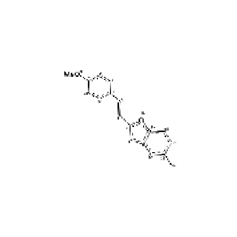 COc1ccc(C=Cc2cc3cc(C)ccc3o2)cc1